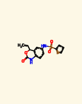 C=CC1OC(=O)Nc2ccc(NS(=O)(=O)c3cccs3)cc21